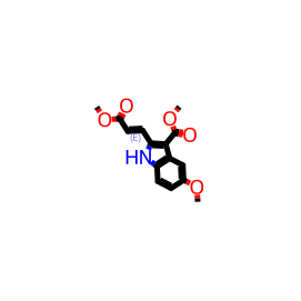 COC(=O)/C=C/c1[nH]c2ccc(OC)cc2c1C(=O)OC